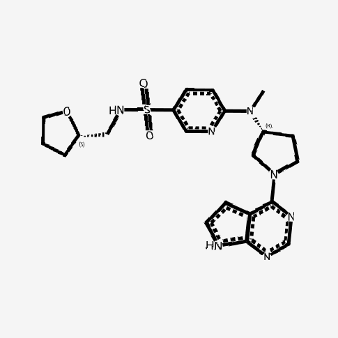 CN(c1ccc(S(=O)(=O)NC[C@@H]2CCCO2)cn1)[C@@H]1CCN(c2ncnc3[nH]ccc23)C1